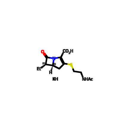 CC[C@H]1C(=O)N2C(C(=O)O)=C(SCCNC(C)=O)C[C@@H]12.[KH]